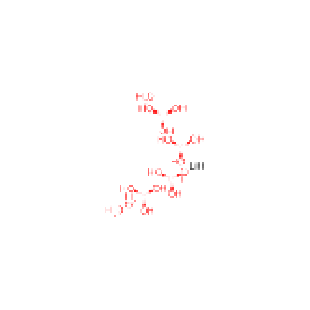 O.O.O.OB(O)O.OB(O)O.OB(O)O.OB(O)O.[LiH]